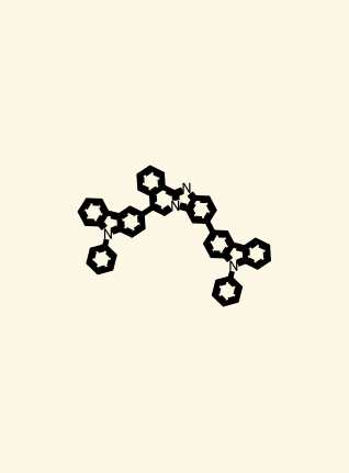 c1ccc(-n2c3ccccc3c3cc(-c4ccc5nc6c7ccccc7c(-c7ccc8c(c7)c7ccccc7n8-c7ccccc7)cn6c5c4)ccc32)cc1